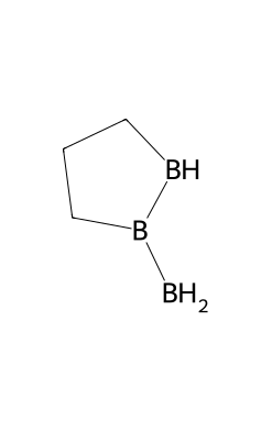 BB1BCCC1